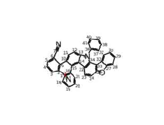 N#Cc1cccc(C#N)c1-c1ccc2c(c1-c1ccccc1)c1ccc3oc4ccccc4c3c1n2-c1ccccc1